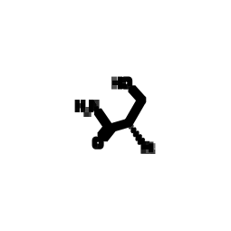 CC[C@@H](CO)C(N)=O